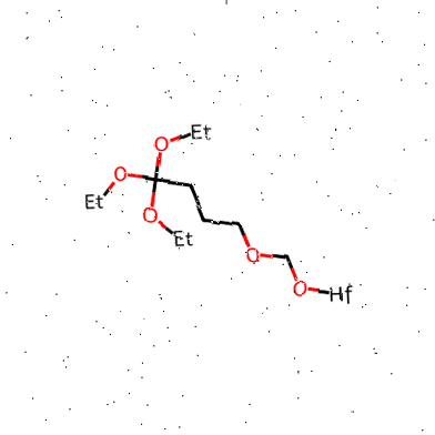 CCOC(CCCOC[O][Hf])(OCC)OCC